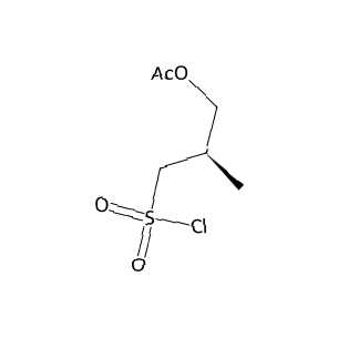 CC(=O)OC[C@@H](C)CS(=O)(=O)Cl